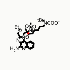 CCOCC1=Nc2c(N)nc3ccccc3c2[N+]1(CC(C)(C)NS(C)(=O)=O)OCCCCCCN(C(=O)[O-])C(C)(C)C